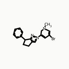 CN1C=C(Br)C=C(n2cc3c(n2)C(c2ccccc2)CC3)C1